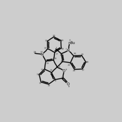 CCCCn1c(C)c(C23OC(=O)c4cccc(c42)-c2c3c3ccccc3n2C)c2ccccc21